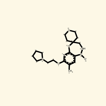 Cc1cc2c(nc1OCCN1CCCC1)OC1(CCOCC1)CN[S+]2[O-]